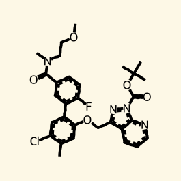 COCCN(C)C(=O)c1ccc(F)c(-c2cc(Cl)c(C)cc2OCc2nn(C(=O)OC(C)(C)C)c3ncccc23)c1